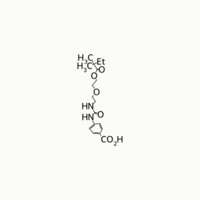 CCC(C)(C)C(=O)OCCOCCNC(=O)Nc1ccc(C(=O)O)cc1